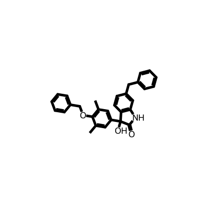 Cc1cc(C2(O)C(=O)Nc3cc(Cc4ccccc4)ccc32)cc(C)c1OCc1ccccc1